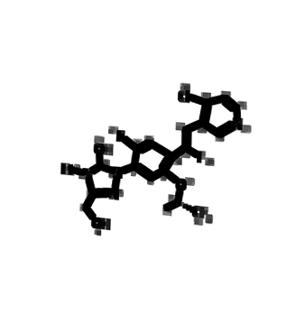 CCN1C(CO)=NN(c2cc(O[C@@H](C)C(F)(F)F)c(/C(F)=C/c3cnccc3Cl)cc2F)C1O